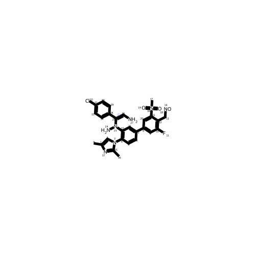 Cc1cn(-c2ccc(-c3cc(F)c(CN=O)c(S(C)(=O)=O)c3)cc2N(N)/C(=C\N)c2ccc(Cl)cc2)c(C)n1